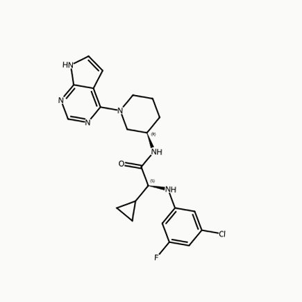 O=C(N[C@@H]1CCCN(c2ncnc3[nH]ccc23)C1)[C@@H](Nc1cc(F)cc(Cl)c1)C1CC1